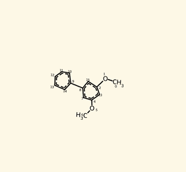 COc1[c]c(OC)cc(-c2ccccc2)c1